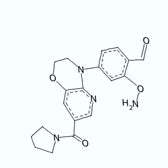 NOc1cc(N2CCOc3cc(C(=O)N4CCCC4)cnc32)ccc1C=O